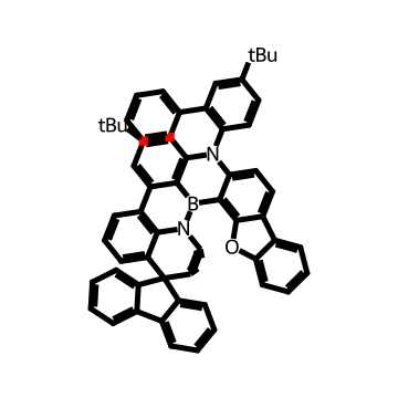 CC(C)(C)c1ccc(N2c3cc(C(C)(C)C)cc4c3B(c3c2ccc2c3oc3ccccc32)N2c3ccccc3C3(c5ccccc5-c5ccccc53)c3cccc-4c32)c(-c2ccccc2)c1